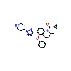 CC1CCc2c(ccc(-c3cnn(C4CCNCC4)n3)c2Oc2ccccc2)N1C(=O)C1CC1